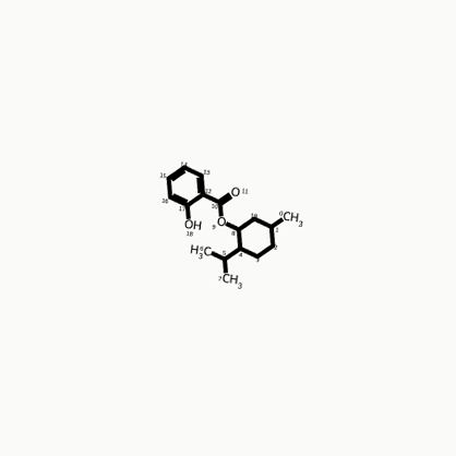 CC1CCC(C(C)C)C(OC(=O)c2ccccc2O)C1